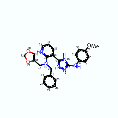 COc1ccc(Nc2nnc(-c3cccnc3N(CC3=COCO3)Cc3ccccc3)[nH]2)cc1